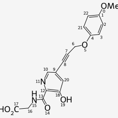 COc1ccc(OCC#Cc2cnc(C(=O)NCC(=O)O)c(O)c2)cc1